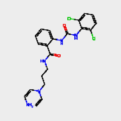 C=CN(/C=C\N)CCCNC(=O)c1ccccc1NC(=O)Nc1c(Cl)cccc1Cl